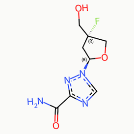 NC(=O)c1ncn([C@H]2C[C@@](F)(CO)CO2)n1